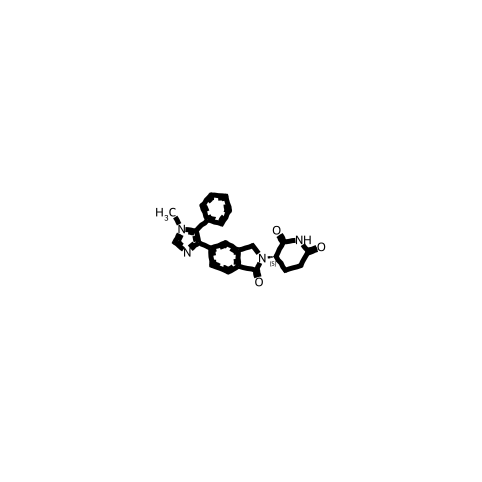 Cn1cnc(-c2ccc3c(c2)CN([C@H]2CCC(=O)NC2=O)C3=O)c1-c1ccccc1